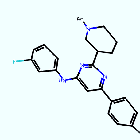 CC(=O)N1CCCC(c2nc(Nc3cccc(F)c3)cc(-c3ccc([N+](=O)[O-])cc3)n2)C1